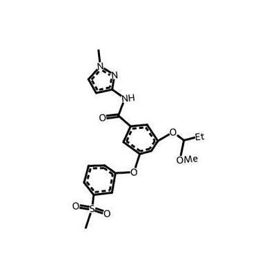 CCC(OC)Oc1cc(Oc2cccc(S(C)(=O)=O)c2)cc(C(=O)Nc2ccn(C)n2)c1